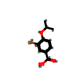 CC(C)Oc1ccc(C(=O)O)cc1Br